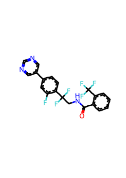 O=C(NCC(F)(F)c1ccc(-c2cncnc2)cc1F)c1ccccc1C(F)(F)F